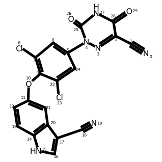 N#Cc1nn(-c2cc(Cl)c(Oc3ccc4[nH]cc(C#N)c4c3)c(Cl)c2)c(=O)[nH]c1=O